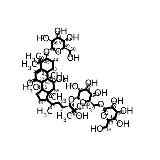 C[C@H](CC[C@@H](O[C@@H]1O[C@H](CO[C@@H]2OC(CO)[C@@H](O)[C@H](O)[C@H]2O)[C@@H](O)[C@H](O)[C@H]1O)C(C)(C)O)C1CC[C@@]2(C)C3C(=O)C=C4C(CC[C@H](O[C@@H]5O[C@H](CO)[C@@H](O)[C@H](O)[C@H]5O)C4(C)C)[C@]3(C)[C@H](O)C[C@]12C